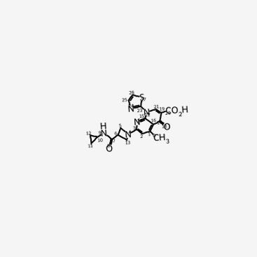 Cc1cc(N2CC(C(=O)NC3CC3)C2)nc2c1c(=O)c(C(=O)O)cn2-c1nccs1